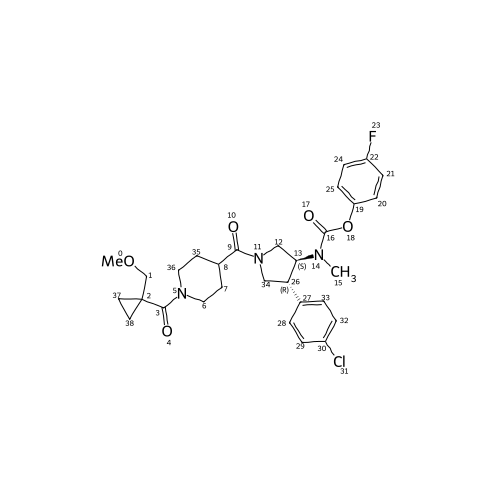 COCC1(C(=O)N2CCC(C(=O)N3C[C@@H](N(C)C(=O)Oc4ccc(F)cc4)[C@H](c4ccc(Cl)cc4)C3)CC2)CC1